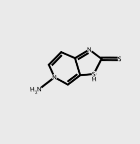 NN1C=CC2=NC(=S)[SH]C2=C1